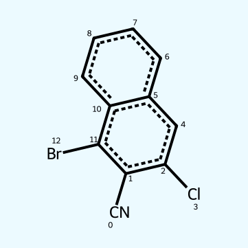 N#Cc1c(Cl)cc2ccccc2c1Br